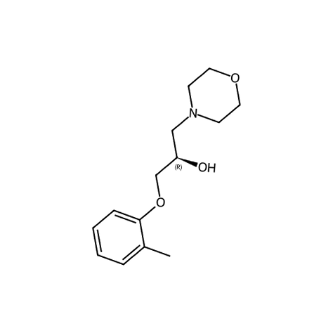 Cc1ccccc1OC[C@H](O)CN1CCOCC1